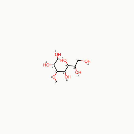 COC(C(O)CO)C(O)C(O)C(O)CO